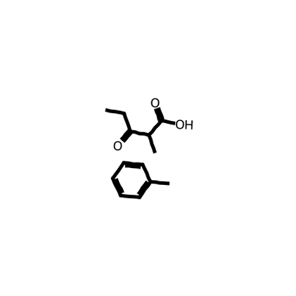 CCC(=O)C(C)C(=O)O.Cc1ccccc1